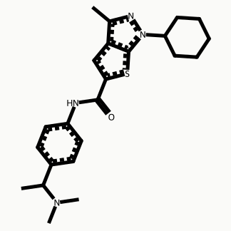 Cc1nn(C2CCCCC2)c2sc(C(=O)Nc3ccc(C(C)N(C)C)cc3)cc12